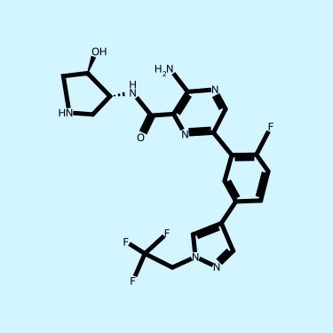 Nc1ncc(-c2cc(-c3cnn(CC(F)(F)F)c3)ccc2F)nc1C(=O)N[C@@H]1CNC[C@H]1O